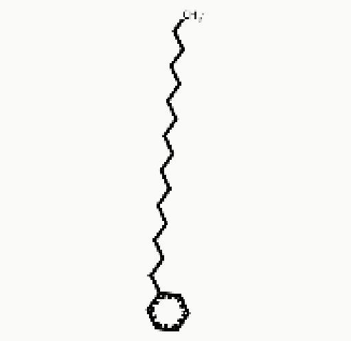 [CH2]CCCCCCCCCCCCCC[CH]c1ccccc1